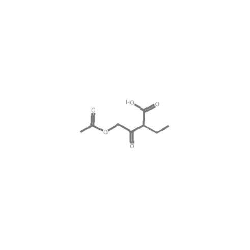 CCC(C(=O)O)C(=O)COC(C)=O